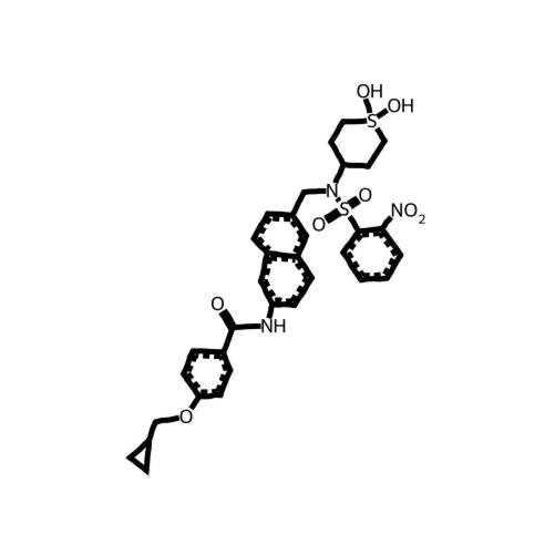 O=C(Nc1ccc2cc(CN(C3CCS(O)(O)CC3)S(=O)(=O)c3ccccc3[N+](=O)[O-])ccc2c1)c1ccc(OCC2CC2)cc1